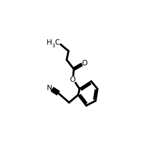 CCCC(=O)Oc1ccccc1CC#N